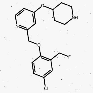 FCc1cc(Cl)ccc1OCc1cc(OC2CCNCC2)ccn1